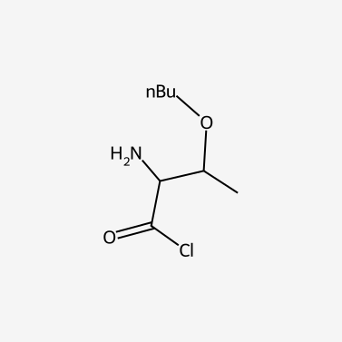 CCCCOC(C)C(N)C(=O)Cl